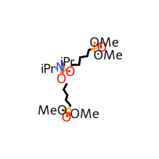 COP(=O)(CCCCCOP(OCCCCCP(=O)(OC)OC)N(C(C)C)C(C)C)OC